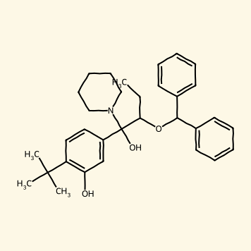 CCC(OC(c1ccccc1)c1ccccc1)C(O)(c1ccc(C(C)(C)C)c(O)c1)N1CCCCC1